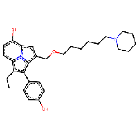 CCc1c(-c2ccc(O)cc2)c2c(COCCCCCCN3CCCCC3)cc3c(O)ccc1n32